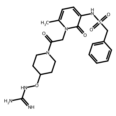 Cc1ccc(NS(=O)(=O)Cc2ccccc2)c(=O)n1CC(=O)N1CCC(ONC(=N)N)CC1